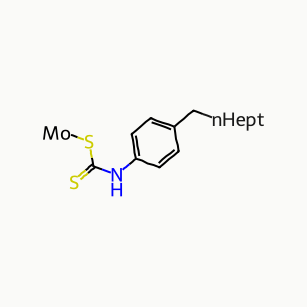 CCCCCCCCc1ccc(NC(=S)[S][Mo])cc1